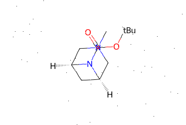 CN1C[C@H]2C[C@@H](C1)N2C(=O)OC(C)(C)C